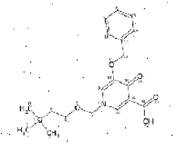 C[Si](C)(C)CCOCn1cc(OCc2ccccc2)c(=O)c(C(=O)O)c1